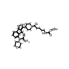 CC(C)(C)OC(=O)NCCCCC(=O)N1CCC(c2[nH]nc3c2C(=O)c2c-3cccc2N(C(N)=O)N2CCOCC2)CC1